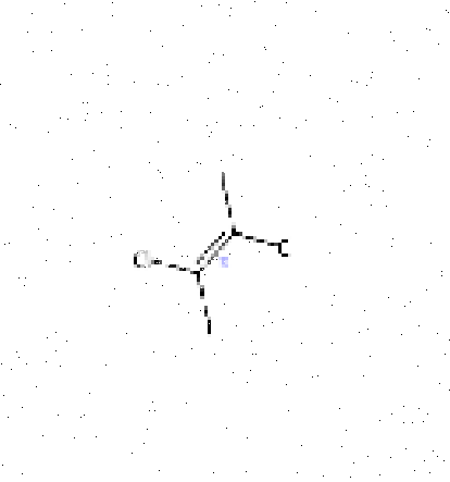 Cl/C(I)=C(/Cl)I